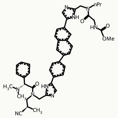 CCCN(Cc1ncc(-c2ccc3cc(-c4ccc(-c5cnc(CN(C[C@@H](C)C#N)C(=O)[C@@H](c6ccccc6)N(C)C)[nH]5)cc4)ccc3c2)[nH]1)C(=O)CNC(=O)OC